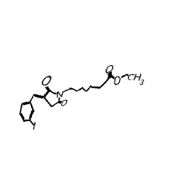 CCOC(=O)CCCCCCN1C(=O)C/C(=C\c2cccc(I)c2)C1=O